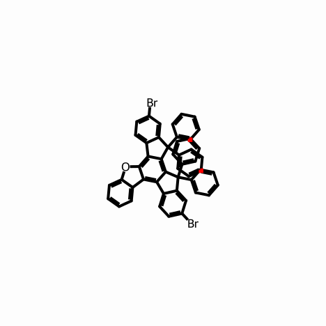 Brc1ccc2c(c1)C(c1ccccc1)(c1ccccc1)c1c3c(c4c(oc5ccccc54)c1-2)-c1ccc(Br)cc1C3(c1ccccc1)c1ccccc1